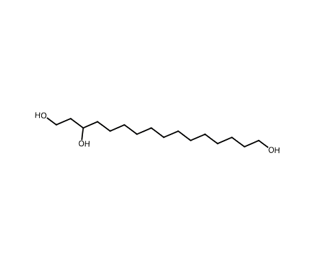 OCCCCCCCCCCCCCC(O)CCO